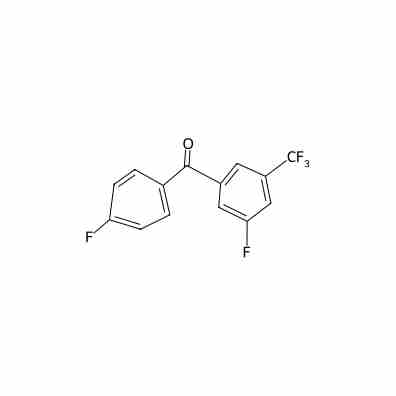 O=C(c1ccc(F)cc1)c1cc(F)cc(C(F)(F)F)c1